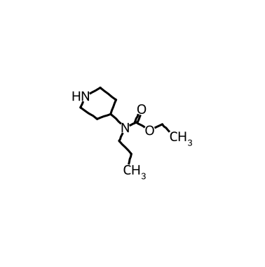 CCCN(C(=O)OCC)C1CCNCC1